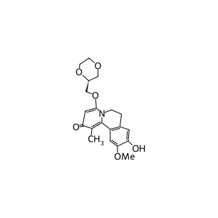 COc1cc2c(cc1O)CCn1c(OC[C@@H]3COCCO3)cc(=O)c(C)c1-2